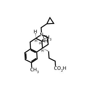 Cc1ccc2c(c1)[C@]1(CCCC(=O)O)CCN(CC3CC3)[C@H](C2)[C@@H]1C